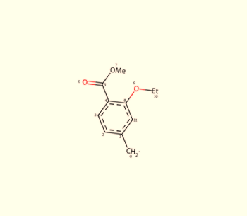 [CH2]c1ccc(C(=O)OC)c(OCC)c1